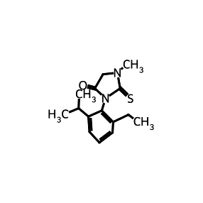 CCc1cccc(C(C)C)c1N1C(=O)CN(C)C1=S